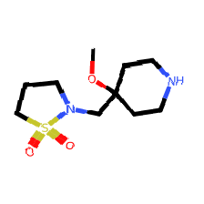 COC1(CN2CCCS2(=O)=O)CCNCC1